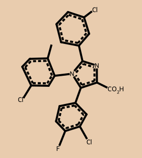 Cc1ccc(Cl)cc1-n1c(-c2cccc(Cl)c2)nc(C(=O)O)c1-c1ccc(F)c(Cl)c1